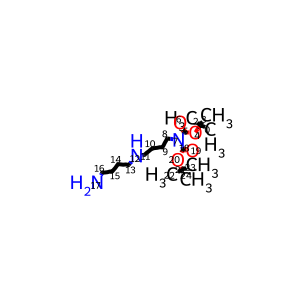 CC(C)(C)OC(=O)N(CCCCNCCCCN)C(=O)OC(C)(C)C